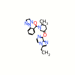 C=Cc1cnc2c(O[C@@H]3CC[C@@H](C)N(C(=O)c4ccccc4-n4nccn4)C3)nccn12